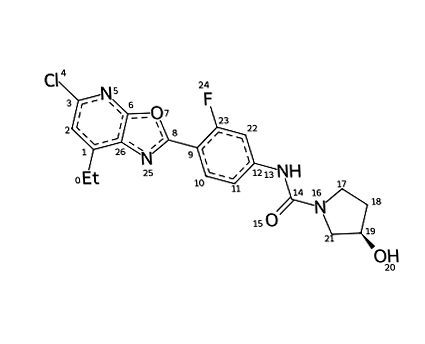 CCc1cc(Cl)nc2oc(-c3ccc(NC(=O)N4CC[C@@H](O)C4)cc3F)nc12